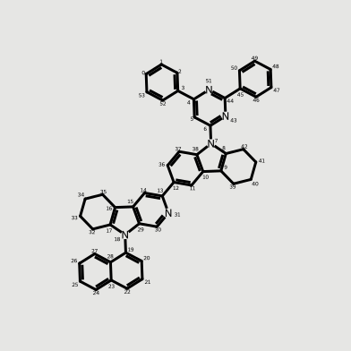 c1ccc(-c2cc(-n3c4c(c5cc(-c6cc7c8c(n(-c9cccc%10ccccc9%10)c7cn6)CCCC8)ccc53)CCCC4)nc(-c3ccccc3)n2)cc1